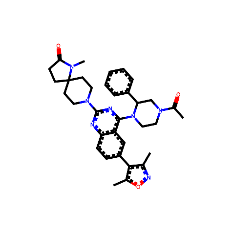 CC(=O)N1CCN(c2nc(N3CCC4(CCC(=O)N4C)CC3)nc3ccc(-c4c(C)noc4C)cc23)C(c2ccccc2)C1